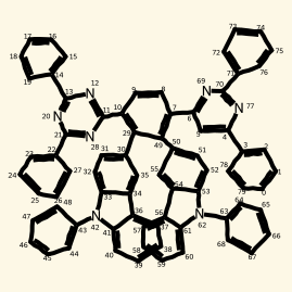 c1ccc(-c2cc(-c3ccc(-c4nc(-c5ccccc5)nc(-c5ccccc5)n4)c(-c4ccc5c(c4)c4ccccc4n5-c4ccccc4)c3-c3ccc4c(c3)c3ccccc3n4-c3ccccc3)nc(-c3ccccc3)n2)cc1